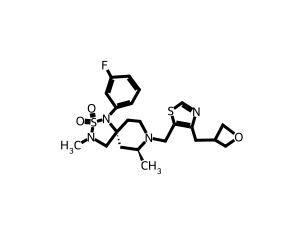 C[C@H]1C[C@]2(CCN1Cc1scnc1CC1COC1)CN(C)S(=O)(=O)N2c1cccc(F)c1